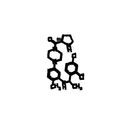 Cc1ccc(N2CCN(C(=O)[C@H]3CCCN3)CC2)cc1NC(C)c1ccc(Cl)cc1Cl